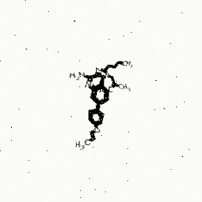 CCCCc1nc2c(N)nc3cc(-c4ccc(OCCC)cc4)ccc3c2n1CC(C)C